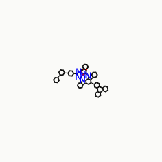 c1ccc(-c2cccc(-c3ccc(-c4nc(-c5ccccc5)nc(-n5c6ccccc6c6cc(-c7ccc8c9ccccc9c9ccccc9c8c7)c7c8ccccc8n(-c8ccccc8)c7c65)n4)cc3)c2)cc1